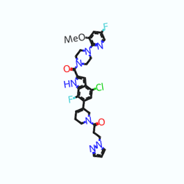 COc1cc(F)cnc1N1CCN(C(=O)c2cc3c(Cl)cc(C4=CCCN(C(=O)CCn5cccn5)C4)c(F)c3[nH]2)CC1